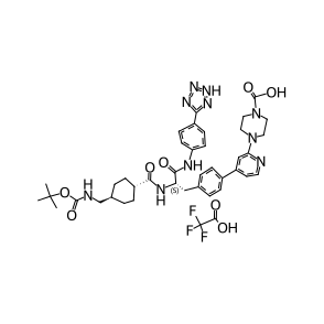 CC(C)(C)OC(=O)NC[C@H]1CC[C@H](C(=O)N[C@@H](Cc2ccc(-c3ccnc(N4CCN(C(=O)O)CC4)c3)cc2)C(=O)Nc2ccc(-c3nn[nH]n3)cc2)CC1.O=C(O)C(F)(F)F